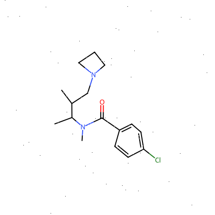 CC(CN1CCC1)C(C)N(C)C(=O)c1ccc(Cl)cc1